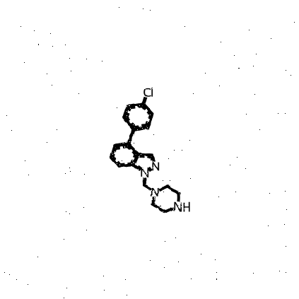 Clc1ccc(-c2cccc3c2cnn3CN2CCNCC2)cc1